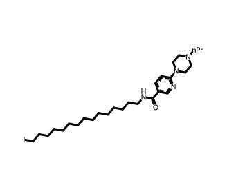 CCCN1CCN(c2ccc(C(=O)NCCCCCCCCCCCCCCCI)cn2)CC1